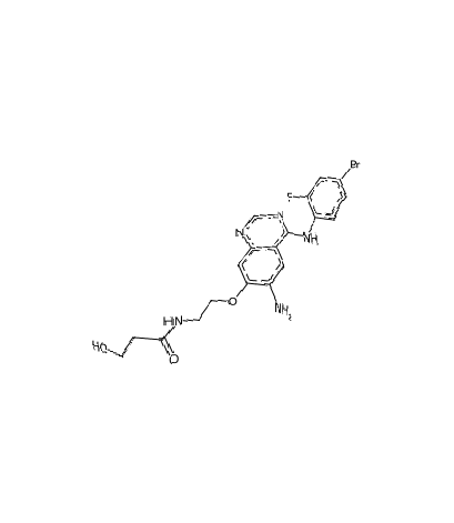 Nc1cc2c(Nc3ccc(Br)cc3F)ncnc2cc1OCCNC(=O)CCO